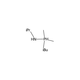 CCC(C)[PH](C)(C)NC(C)C